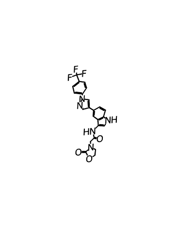 O=C(CN1CCOC1=O)Nc1c[nH]c2ccc(-c3cnn(-c4ccc(C(F)(F)F)cc4)c3)cc12